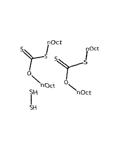 CCCCCCCCOC(=S)SCCCCCCCC.CCCCCCCCOC(=S)SCCCCCCCC.SS